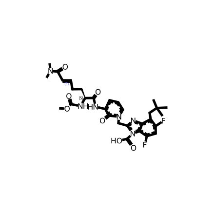 COC(=O)N[C@@H](CC/C=C/C(=O)N(C)C)C(=O)Nc1cccn(Cc2nc3c(CC(C)(C)C)c(F)cc(F)c3n2C(=O)O)c1=O